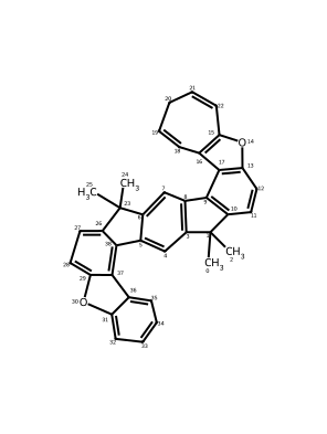 CC1(C)c2cc3c(cc2-c2c1ccc1oc4c(c21)C=CCC=C4)C(C)(C)c1ccc2oc4ccccc4c2c1-3